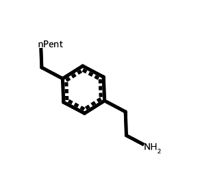 CCCCCCc1ccc(CCN)cc1